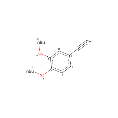 C#Cc1ccc(OCCCC)c(OCCCC)c1